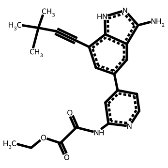 CCOC(=O)C(=O)Nc1cc(-c2cc(C#CC(C)(C)C)c3[nH]nc(N)c3c2)ccn1